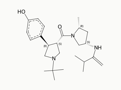 C=C(N[C@H]1C[C@@H](C)N(C(=O)[C@@H]2CN(C(C)(C)C)C[C@H]2c2ccc(O)cc2)C1)C(C)C